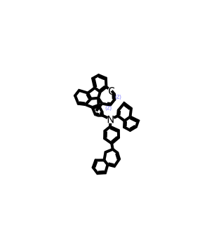 CC1/C=C\C=C/Cc2cccc3c2C12C1=C3CCC=C1c1ccc(N(c3ccc(C4C=CC=C5C=CC=CC5C4)cc3)c3cccc4ccccc34)cc12